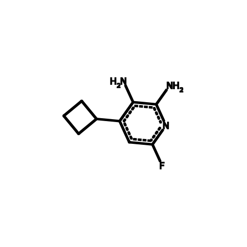 Nc1nc(F)cc(C2CCC2)c1N